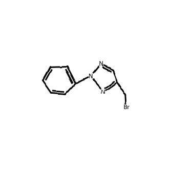 BrCc1cnn(-c2ccccc2)n1